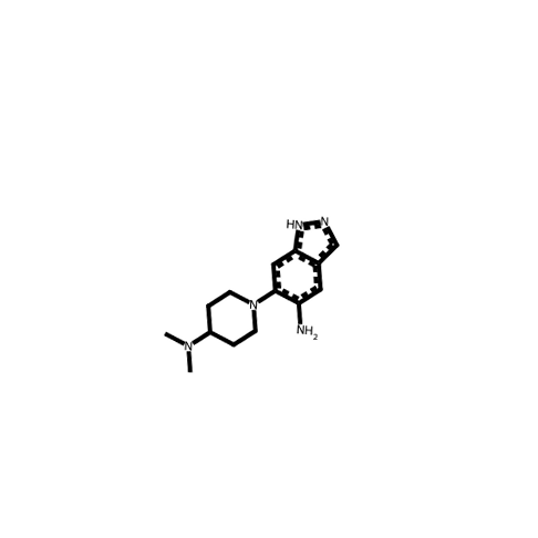 CN(C)C1CCN(c2cc3[nH]ncc3cc2N)CC1